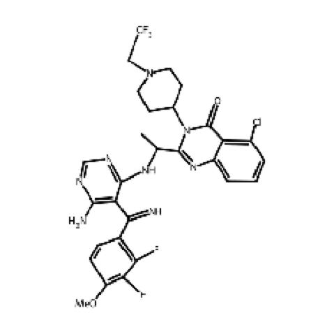 COc1ccc(C(=N)c2c(N)ncnc2NC(C)c2nc3cccc(Cl)c3c(=O)n2C2CCN(CC(F)(F)F)CC2)c(F)c1F